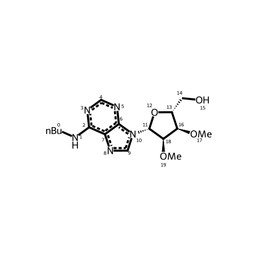 CCCCNc1ncnc2c1ncn2[C@@H]1O[C@H](CO)[C@@H](OC)[C@H]1OC